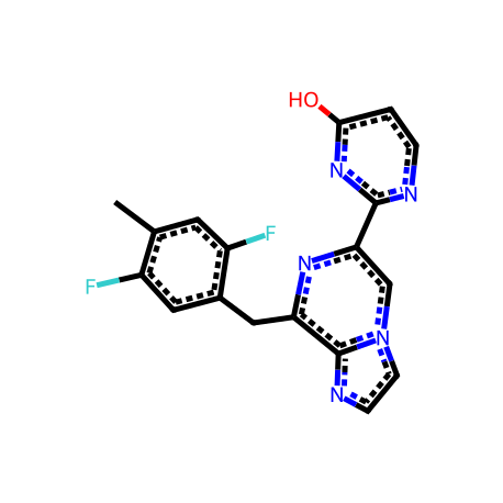 Cc1cc(F)c(Cc2nc(-c3nccc(O)n3)cn3ccnc23)cc1F